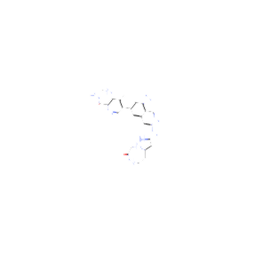 Cc1c(-c2cc3cc(Nc4cc5n(n4)CC(=O)N(C)CC5)ncc3c(N)c2F)cnc2c1NCN(C)C2=O